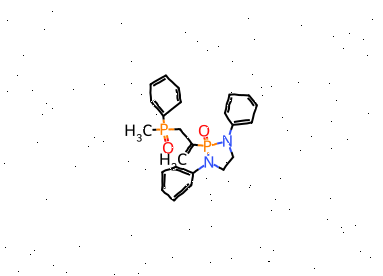 C=C(CP(C)(=O)c1ccccc1)P1(=O)N(c2ccccc2)CCN1c1ccccc1